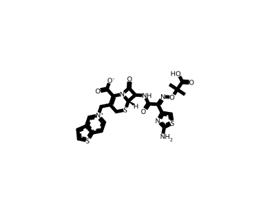 CC(C)(ON=C(C(=O)NC1C(=O)N2C(C(=O)[O-])=C(C[n+]3ccc4sccc4c3)CS[C@@H]12)c1csc(N)n1)C(=O)O